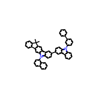 CC1(C)c2ccccc2-c2cc3c(cc21)c1cc(-c2ccc4c(c2)c2ccccc2n4-c2cccc(-c4ccccc4)c2)ccc1n3-c1cccc2ccccc12